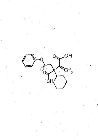 C=C(C(=O)O)C(CC(=O)Oc1ccccc1)(C(=O)O)C1CCCCC1